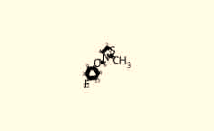 CC1SCCN1COc1ccc(F)cc1